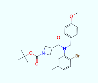 COc1ccc(CN(C(=O)C2CN(C(=O)OC(C)(C)C)C2)c2cc(C)ccc2Br)cc1